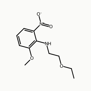 CCOCCNc1c(OC)cccc1[N+](=O)[O-]